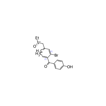 C=C(/C=C(Br)\C(=C/C)C(=O)c1ccc(O)cc1)C[S+]([O-])CC